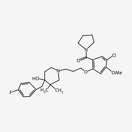 COc1cc(OCCCN2CCC(O)(Cc3ccc(F)cc3)C(C)(C)C2)c(C(=O)N2CCCC2)cc1Cl